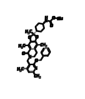 Cc1cc(C)c(CN2CCc3c(C)c4c(c(C)c3C2=O)OC(C)([C@H]2CC[C@H](NC(=O)OC(C)(C)C)CC2)O4)c(OCc2ccccc2)n1